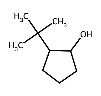 CC(C)(C)C1CCCC1O